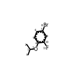 CC(C)Oc1ccc(Br)cc1F